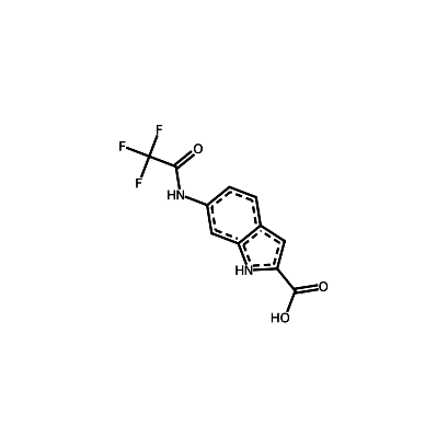 O=C(O)c1cc2ccc(NC(=O)C(F)(F)F)cc2[nH]1